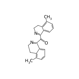 Cc1cccc2c1CCN=C2C(=O)C1=NCCc2c(C)cccc21